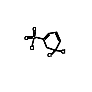 O=S(=O)(Cl)C1=CC=CC(Cl)(Cl)C1